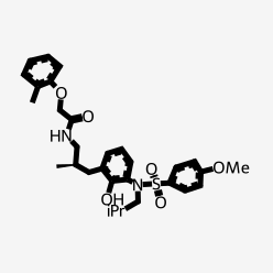 COc1ccc(S(=O)(=O)N(CC(C)C)c2cccc(C[C@@H](C)CNC(=O)COc3ccccc3C)c2O)cc1